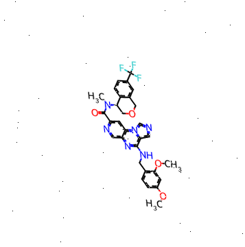 COc1ccc(CNc2nc3cnc(C(=O)N(C)[C@@H]4COCc5cc(C(F)(F)F)ccc54)cc3n3cncc23)c(OC)c1